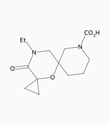 CCN1CC2(CCCN(C(=O)O)C2)OC2(CC2)C1=O